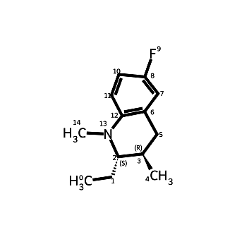 CC[C@H]1[C@H](C)Cc2cc(F)ccc2N1C